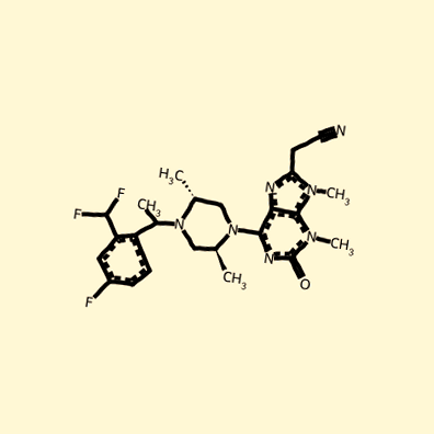 CC(c1ccc(F)cc1C(F)F)N1C[C@H](C)N(c2nc(=O)n(C)c3c2nc(CC#N)n3C)C[C@H]1C